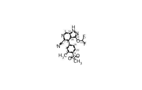 Cc1cc(-c2c(C#N)ncc3[nH]nc(OC(F)F)c23)ccc1S(C)(=O)=O